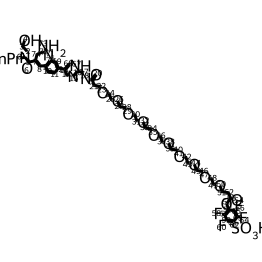 CCCN(CCO)C(=O)C1=Cc2ccc(-c3cnc(CNC(=O)CCOCCOCCOCCOCCOCCOCCOCCOCCOCCOCCC(=O)Oc4c(F)c(F)c(S(=O)(=O)O)c(F)c4F)nc3)cc2N=C(N)C1